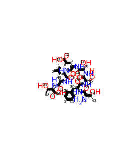 CC(C)C[C@H](NC(=O)[C@H](CCC(=O)O)NC(=O)[C@H](CO)NC(=O)[C@H](CO)NC(=O)[C@H](Cc1ccccc1)NC(=O)[C@@H](N)[C@@H](C)O)C(=O)N[C@@H](C)C(=O)N[C@H](C(=O)O)[C@@H](C)O